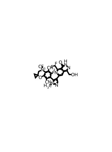 Cc1c(F)c(-c2c(-c3cc4c(CO)n[nH]c(=O)c4c(C(F)F)n3)cnn2C)c(C#N)c2c1N(C(F)(F)F)CC1(CC1)O2